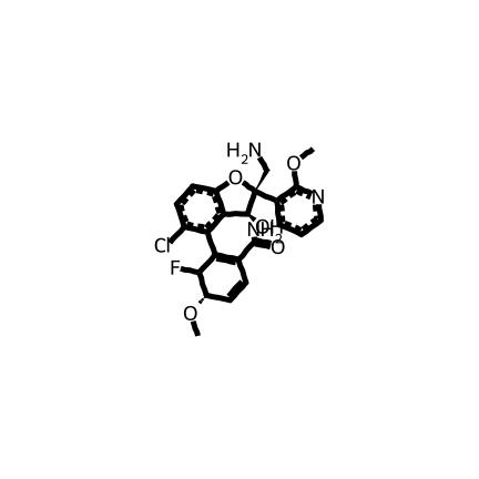 COc1ncccc1[C@@]1(CN)Oc2ccc(Cl)c(C3=C(C(N)=O)C=C[C@H](OC)C3F)c2[C@@H]1O